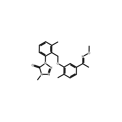 CON=C(C)c1ccc(C)c(OCc2c(C)cccc2-n2nnn(C)c2=O)c1